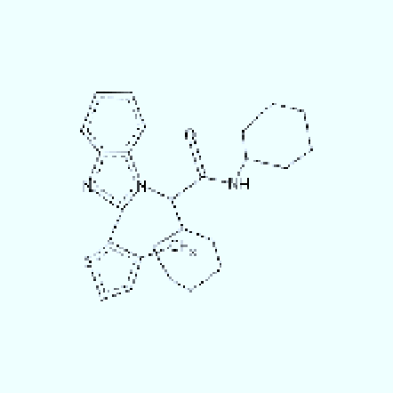 Cc1ccsc1-c1nc2ccccc2n1C(C(=O)NC1CCCCC1)C1CCCCC1